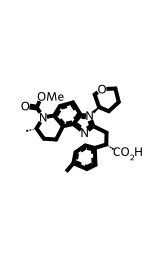 COC(=O)N1c2ccc3c(nc(C[C@H](C(=O)O)c4ccc(C)cc4)n3[C@@H]3CCCOC3)c2CC[C@@H]1C